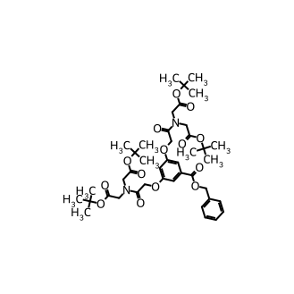 CC(C)(C)OC(=O)CN(CC(=O)OC(C)(C)C)C(=O)COc1cc(OCC(=O)N(CC(=O)OC(C)(C)C)CC(=O)OC(C)(C)C)cc(C(=O)OCc2ccccc2)c1